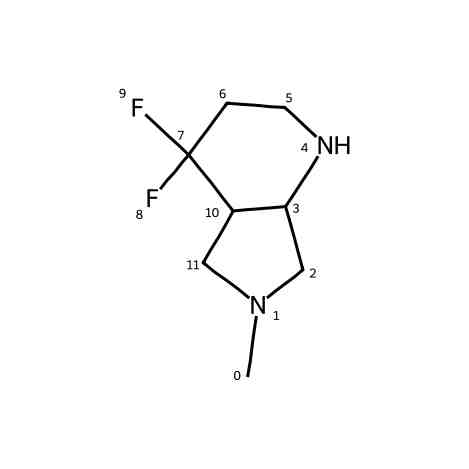 CN1CC2NCCC(F)(F)C2C1